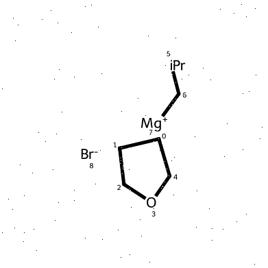 C1CCOC1.CC(C)[CH2][Mg+].[Br-]